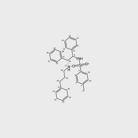 Cc1ccc(S(=O)(=O)NC(c2ccccc2)[C@H](NCCCC2=CCC=CC2)c2ccccc2)cc1